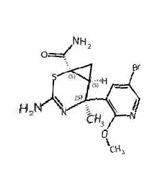 COc1ncc(Br)cc1[C@@]1(C)N=C(N)S[C@@]2(C(N)=O)C[C@H]21